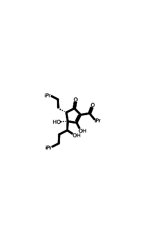 CC(C)CCC(O)[C@]1(O)C(O)=C(C(=O)C(C)C)C(=O)[C@H]1CCC(C)C